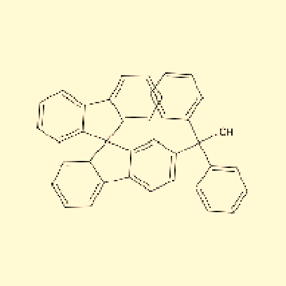 OC(c1ccccc1)(c1ccccc1)c1ccc2c(c1)C1(c3ccccc3-c3ccccc31)c1ccccc1-2